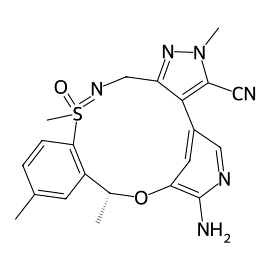 Cc1ccc2c(c1)[C@@H](C)Oc1cc(cnc1N)-c1c(nn(C)c1C#N)CN=S2(C)=O